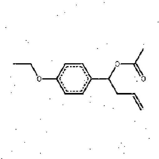 C=CCC(OC(C)=O)c1ccc(OCC)cc1